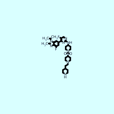 Cc1nc2c(F)cc(-c3nc(NC4CCN(S(=O)(=O)C5CCN(CCC6CCNCC6)CC5)CC4)ncc3F)cc2n1C(C)C